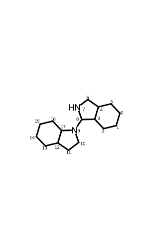 C1CCC2C(C1)CNC2N1CCC2CCCCC21